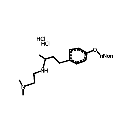 CCCCCCCCCOc1ccc(CCC(C)NCCN(C)C)cc1.Cl.Cl